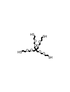 SCCOCOCC(COCOCCS)(COCOCCS)COCOCCS